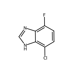 Fc1ccc(Cl)c2[nH]cnc12